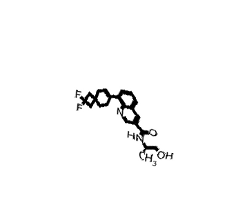 C[C@H](CO)NC(=O)c1cnc2c(C3=CCC4(CC3)CC(F)(F)C4)cccc2c1